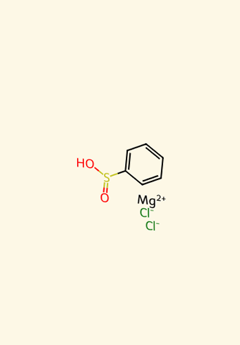 O=S(O)c1ccccc1.[Cl-].[Cl-].[Mg+2]